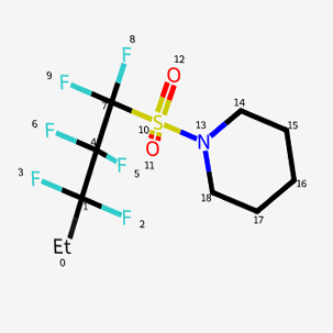 CCC(F)(F)C(F)(F)C(F)(F)S(=O)(=O)N1CCCCC1